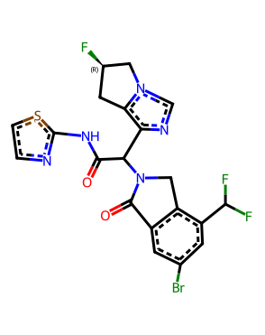 O=C(Nc1nccs1)C(c1ncn2c1C[C@@H](F)C2)N1Cc2c(cc(Br)cc2C(F)F)C1=O